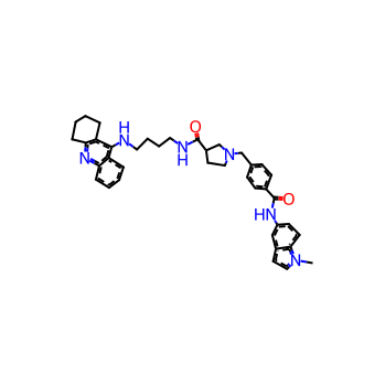 Cn1ccc2cc(NC(=O)c3ccc(CN4CCC(C(=O)NCCCCNc5c6c(nc7ccccc57)CCCC6)C4)cc3)ccc21